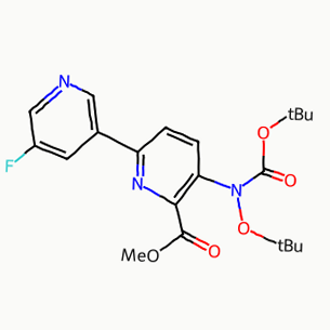 COC(=O)c1nc(-c2cncc(F)c2)ccc1N(OC(C)(C)C)C(=O)OC(C)(C)C